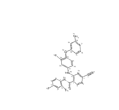 N#Cc1ncc(C(=O)Nc2ccc(F)cc2F)c(Nc2ccc(Oc3ccnc(N)c3)c(F)c2)n1